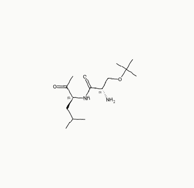 CC(=O)[C@H](CC(C)C)NC(=O)[C@@H](N)COC(C)(C)C